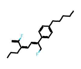 C=C(F)/C(=C\C=C(/CF)c1ccc(CCCCC)cc1)CCC